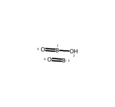 O=BO.[B]=O